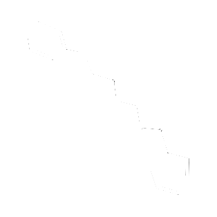 O=C(COc1ccccc1)OCNC(=S)c1ccccc1